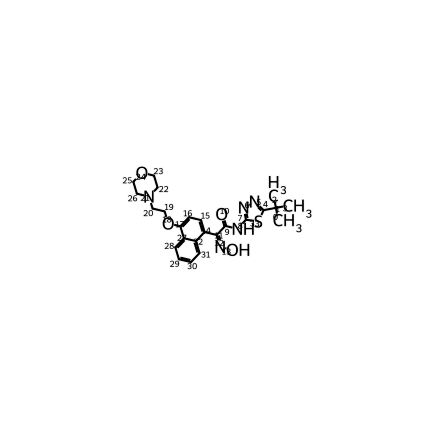 CC(C)(C)c1nnc(NC(=O)C(=NO)c2ccc(OCCN3CCOCC3)c3ccccc23)s1